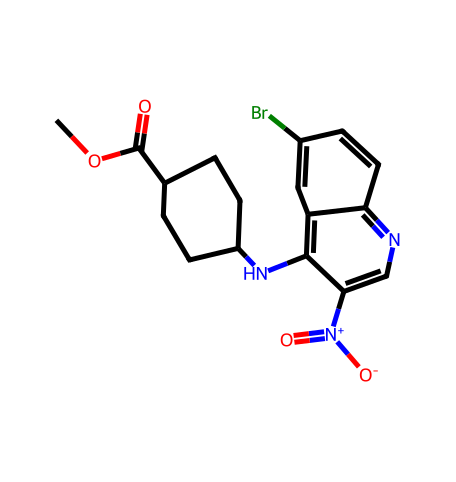 COC(=O)C1CCC(Nc2c([N+](=O)[O-])cnc3ccc(Br)cc23)CC1